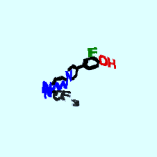 Oc1ccc(C2CCN(c3ccc4nnc(C(F)(F)F)n4n3)CC2)cc1F